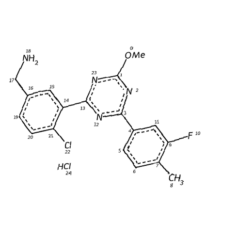 COc1nc(-c2ccc(C)c(F)c2)nc(-c2cc(CN)ccc2Cl)n1.Cl